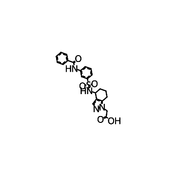 O=C(O)Cn1ncc2c1CCCC2NS(=O)(=O)c1cccc(NC(=O)c2ccccc2)c1